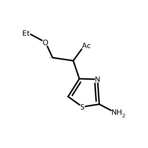 CCO[CH]C(C(C)=O)c1csc(N)n1